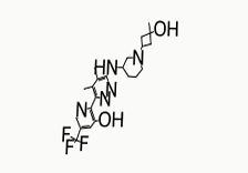 Cc1c(NC2CCCN(C3CC(C)(O)C3)C2)nnc(-c2ncc(C(F)(F)F)cc2O)c1C